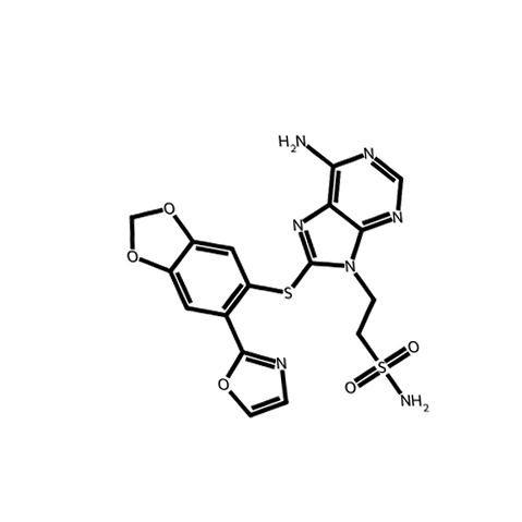 Nc1ncnc2c1nc(Sc1cc3c(cc1-c1ncco1)OCO3)n2CCS(N)(=O)=O